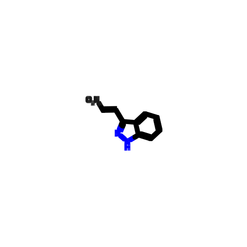 O=[N+]([O-])/C=C/c1n[nH]c2ccccc12